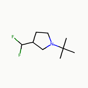 CC(C)(C)N1CCC(C(F)F)C1